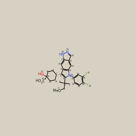 COCC(C)(C)c1c([C@H]2CC[C@](O)(C(=O)O)CC2)c2cc3[nH]ncc3cc2n1-c1ccc(F)c(F)c1